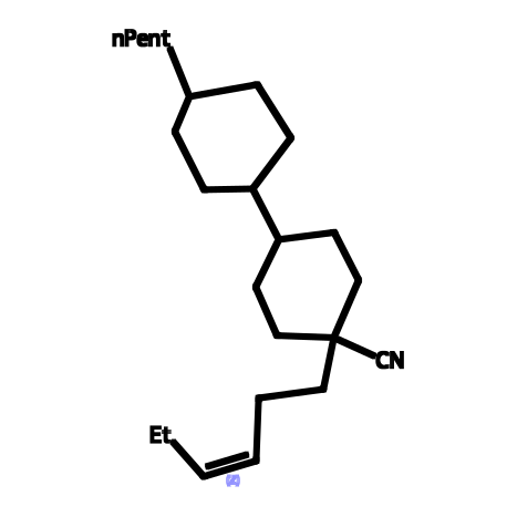 CC/C=C\CCC1(C#N)CCC(C2CCC(CCCCC)CC2)CC1